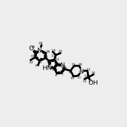 Cc1c(-c2[nH]c3ccc(C4CCN(CC(C)(C)O)CC4)nc3c2C(C)C)cn(C)c(=O)c1C